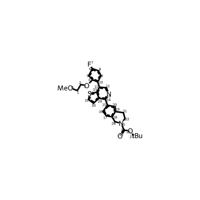 COCCOc1cc(F)ccc1-c1cnc(-c2ccc3c(c2)CCN(C(=O)OC(C)(C)C)C3)c2ccsc12